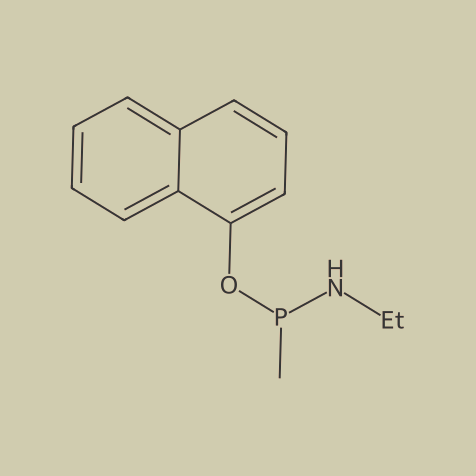 CCNP(C)Oc1cccc2ccccc12